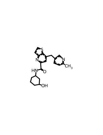 Cc1ccc(Cc2cc(C(=O)NC3CCCC(O)C3)nc3ccsc23)cn1